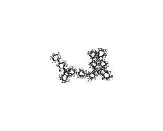 c1ccc(-c2ccc(-n3c4ccccc4c4cc(-c5ccc(-c6cccc(N(c7ccc8c(c7)C7(c9ccccc9-c9ccccc97)c7ccccc7-8)c7ccc8ccccc8c7)c6)cc5)ccc43)cc2)cc1